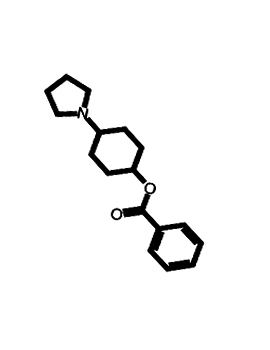 O=C(OC1CCC(N2CCCC2)CC1)c1ccccc1